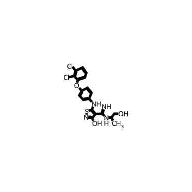 CC(CO)NC(=N)c1c(O)nsc1Nc1ccc(Oc2cccc(Cl)c2Cl)cc1